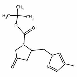 CC(C)(C)OC(=O)N1CC(=O)CC1Cn1cc(I)cn1